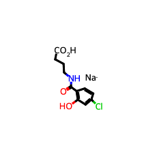 O=C(O)CCCNC(=O)c1ccc(Cl)cc1O.[Na]